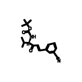 CC(C)[C@@H](NC(=O)OC(C)(C)C)C(=O)C=Cc1cccc(C#N)c1